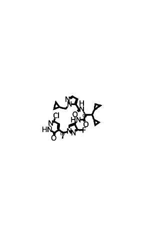 C[C@@H](c1cc(Cl)n[nH]c1=O)n1cc(NC(=O)[C@@H](NC(=O)c2ccnn2CC2CC2)C(C2CC2)C2CC2)c(F)n1